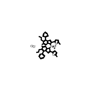 CCCc1c(C)cc2c(c1-c1ccccc1)C=C(c1ccc(C)o1)[CH]2[Zr+2]([CH]1C(c2ccc(C)o2)=Cc2c1cc(C)c(CCC)c2-c1ccccc1)=[Si](C)C.[Cl-].[Cl-]